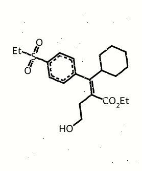 CCOC(=O)C(CCO)=C(c1ccc(S(=O)(=O)CC)cc1)C1CCCCC1